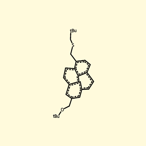 CC(C)(C)CSCc1ccc2ccc3cc(COC(C)(C)C)cc4ccc1c2c34